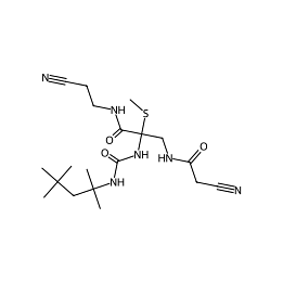 CSC(CNC(=O)CC#N)(NC(=O)NC(C)(C)CC(C)(C)C)C(=O)NCCC#N